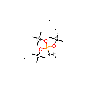 [BH3-][P+](O[Si](C)(C)C)(O[Si](C)(C)C)O[Si](C)(C)C